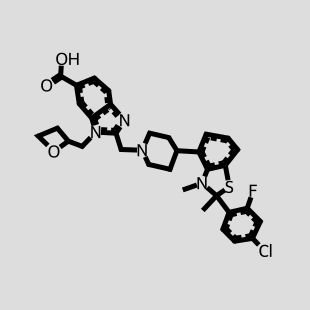 CN1c2c(cccc2C2CCN(Cc3nc4ccc(C(=O)O)cc4n3CC3CCO3)CC2)SC1(C)c1ccc(Cl)cc1F